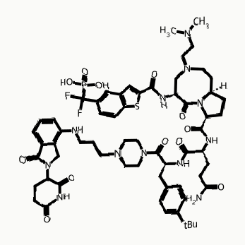 CN(C)CCN1CC[C@H]2CC[C@@H](C(=O)N[C@@H](CCC(N)=O)C(=O)N[C@@H](Cc3ccc(C(C)(C)C)cc3)C(=O)N3CCN(CCCNc4cccc5c4CN(C4CCC(=O)NC4=O)C5=O)CC3)N2C(=O)[C@@H](NC(=O)c2cc3cc(C(F)(F)P(=O)(O)O)ccc3s2)C1